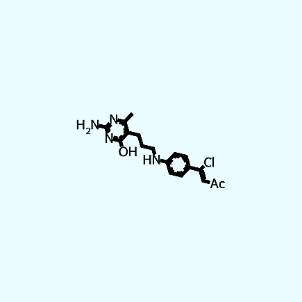 CC(=O)C=C(Cl)c1ccc(NCCCc2c(C)nc(N)nc2O)cc1